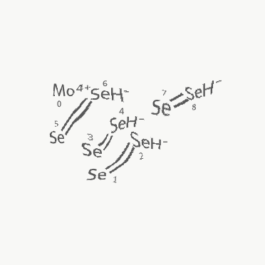 [Mo+4].[Se]=[SeH-].[Se]=[SeH-].[Se]=[SeH-].[Se]=[SeH-]